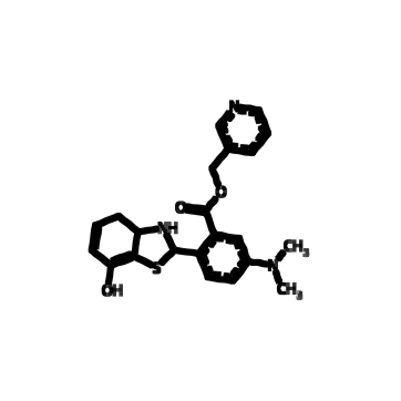 CN(C)c1ccc(C2NC3CC=CC(O)=C3S2)c(C(=O)OCc2cccnc2)c1